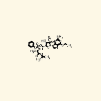 CCOc1nc(N)nc2c1ncn2[C@@H]1O[C@H](CO[P@](=O)(N[C@H](C)C(=O)OC(C)C)Oc2ccccc2)[C@@H](O)[C@@]1(C)N